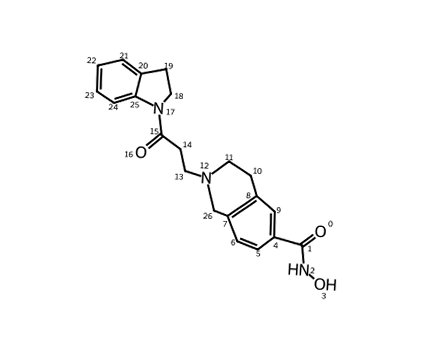 O=C(NO)c1ccc2c(c1)CCN(CCC(=O)N1CCc3ccccc31)C2